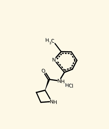 Cc1cccc(NC(=O)[C@@H]2CCN2)n1.Cl